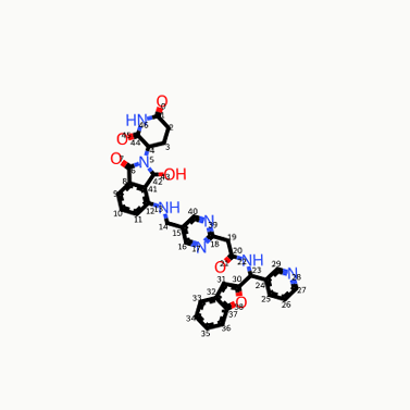 O=C1CCC(N2C(=O)c3cccc(NCc4cnc(CC(=O)NC(c5cccnc5)c5cc6ccccc6o5)nc4)c3C2O)C(=O)N1